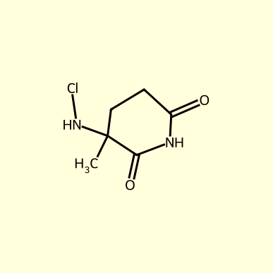 CC1(NCl)CCC(=O)NC1=O